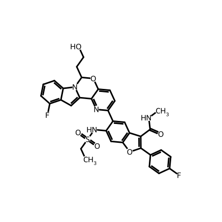 CCS(=O)(=O)Nc1cc2oc(-c3ccc(F)cc3)c(C(=O)NC)c2cc1-c1ccc2c(n1)-c1cc3c(F)cccc3n1C(CCO)O2